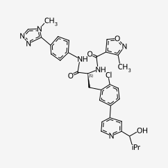 Cc1nocc1C(=O)N[C@@H](Cc1cc(-c2ccnc(C(O)C(C)C)c2)ccc1Cl)C(=O)Nc1ccc(-c2nncn2C)cc1